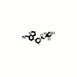 C/N=C/c1ccc([C@H]2C[C@@H](C)CN(C(=O)C[C@H]3[C@@H]4CNC[C@@H]43)C2)c2cccnc12